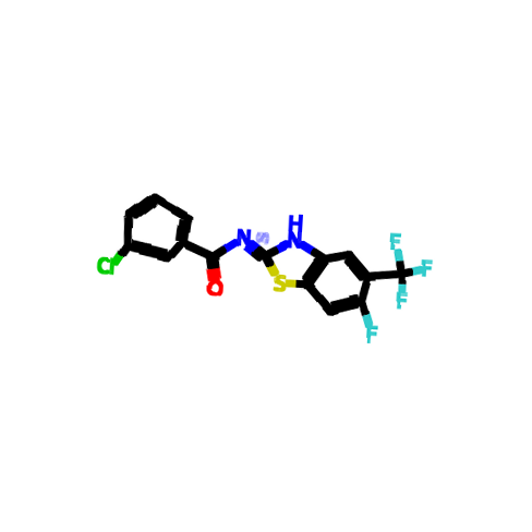 O=C(/N=c1/[nH]c2cc(C(F)(F)F)c(F)cc2s1)c1cccc(Cl)c1